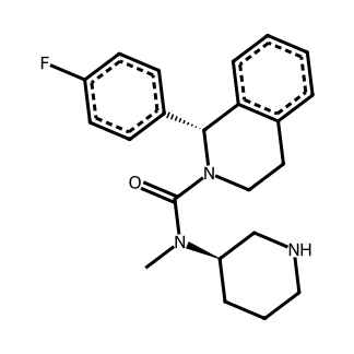 CN(C(=O)N1CCc2ccccc2[C@H]1c1ccc(F)cc1)[C@@H]1CCCNC1